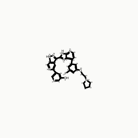 Oc1cncc(-c2cc3c(-c4nc5c(-c6cc(F)cc(OCCN7CCCC7)c6)ccnc5[nH]4)n[nH]c3cn2)c1